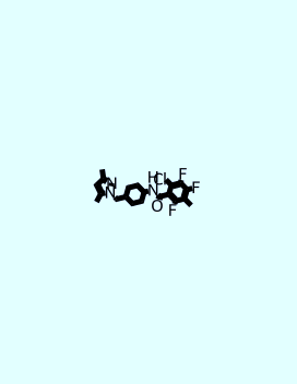 Cc1cc(C)n(CC2CCC(NC(=O)c3c(F)c(C)c(F)c(F)c3Cl)CC2)n1